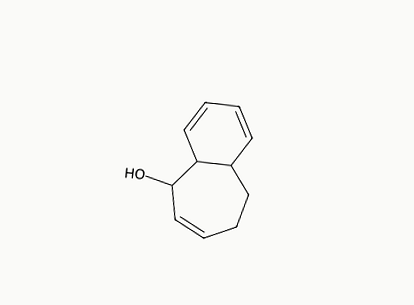 OC1C=CCCC2C=CC=CC12